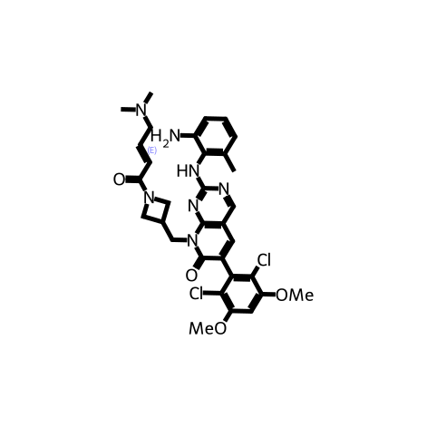 COc1cc(OC)c(Cl)c(-c2cc3cnc(Nc4c(C)cccc4N)nc3n(CC3CN(C(=O)/C=C/CN(C)C)C3)c2=O)c1Cl